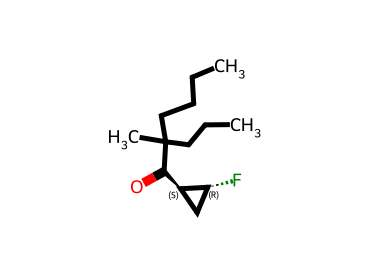 CCCCC(C)(CCC)C(=O)[C@@H]1C[C@H]1F